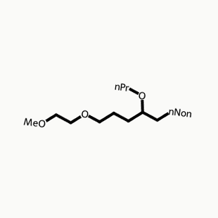 CCCCCCCCCCC(CCCOCCOC)OCCC